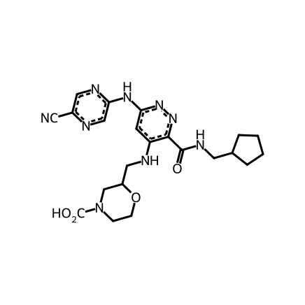 N#Cc1cnc(Nc2cc(NCC3CN(C(=O)O)CCO3)c(C(=O)NCC3CCCC3)nn2)cn1